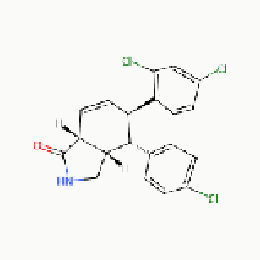 O=C1NC[C@H]2[C@@H](c3ccc(Cl)cc3)[C@H](c3ccc(Cl)cc3Cl)C=C[C@@H]12